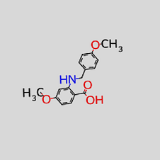 COc1ccc(CNc2cc(OC)ccc2C(=O)O)cc1